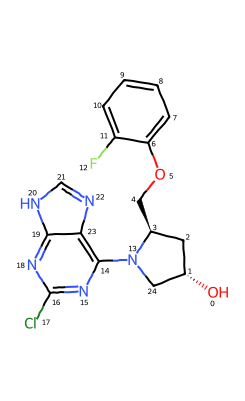 O[C@H]1C[C@H](COc2ccccc2F)N(c2nc(Cl)nc3[nH]cnc23)C1